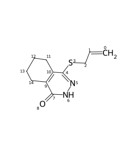 C=CCSc1n[nH]c(=O)c2c1CCCC2